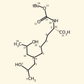 CC(O)CN(CCCC[C@H](NC(=O)OC(C)(C)C)C(=O)O)CC(C)O